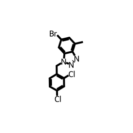 Cc1cc(Br)cc2c1nnn2Cc1ccc(Cl)cc1Cl